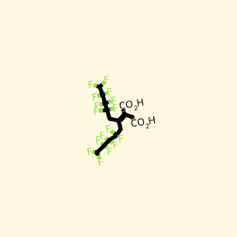 O=C(O)CC(C(=O)O)=C(CC(F)(F)C(F)(F)C(F)(F)C(F)F)CC(F)(F)C(F)(F)C(F)(F)C(F)F